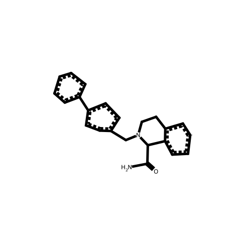 NC(=O)C1c2cc[c]cc2CCN1Cc1ccc(-c2ccccc2)cc1